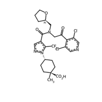 C[C@]1(C(=O)O)CC[C@H](n2ncc(C(=O)N(CC(=O)c3c(Cl)cncc3Cl)C[C@H]3CCCO3)c2C(F)(F)F)CC1